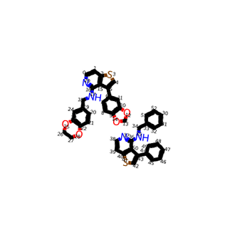 c1cc2scc(-c3ccc4c(c3)OCO4)c2c(NCc2ccc3c(c2)OCCO3)n1.c1ccc(CNc2nccc3scc(-c4ccccc4)c23)cc1